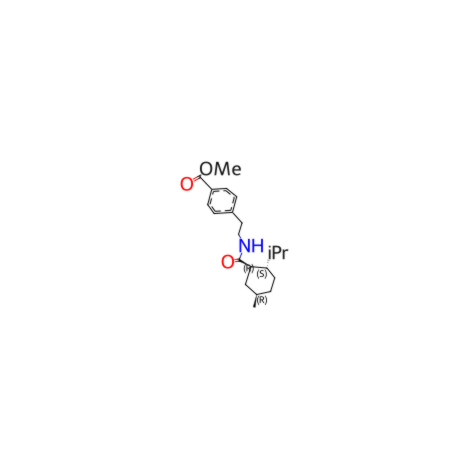 COC(=O)c1ccc(CCNC(=O)[C@@H]2C[C@H](C)CC[C@H]2C(C)C)cc1